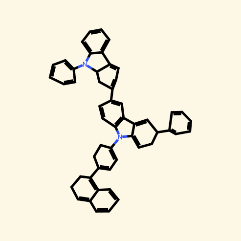 C1=C(C2=c3ccccc3=CCC2)CCC(n2c3c(c4cc(C5=CC=C6c7ccccc7N(c7ccccc7)C6C5)ccc42)=CC(c2ccccc2)CC=3)=C1